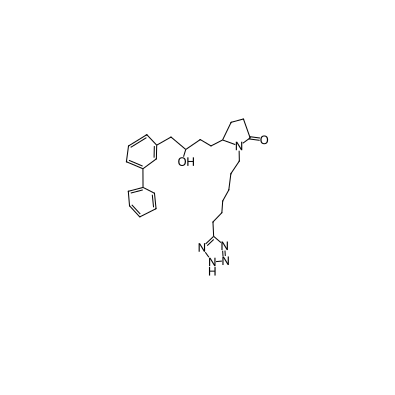 O=C1CCC(CCC(O)Cc2cccc(-c3ccccc3)c2)N1CCCCCCc1nn[nH]n1